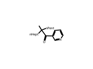 CCCCCCCC(C)(CCCCC)C(=O)c1cccnc1